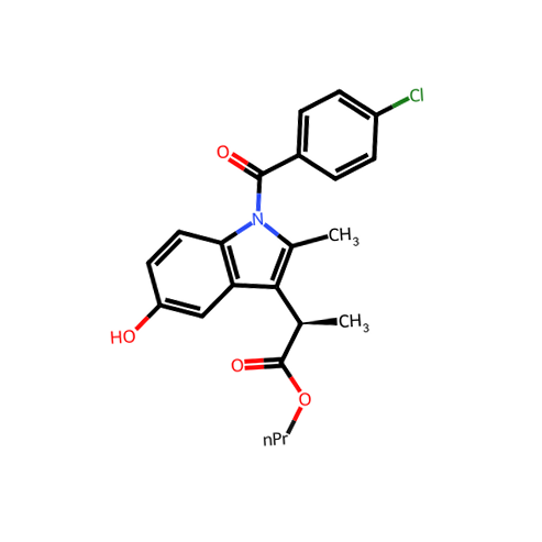 CCCOC(=O)[C@H](C)c1c(C)n(C(=O)c2ccc(Cl)cc2)c2ccc(O)cc12